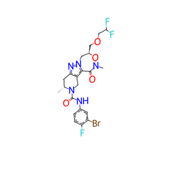 C[C@@H]1Cc2nn3c(c2CN1C(=O)Nc1ccc(F)c(Br)c1)C(=O)N(C)O[C@H](COCC(F)F)C3